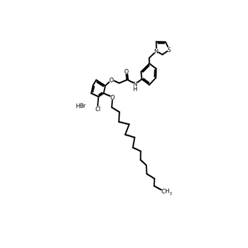 Br.CCCCCCCCCCCCCCOc1c(Cl)cccc1OCC(=O)Nc1cccc(CN2C=CSC2)c1